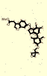 COC(=O)CC1COc2cc(O[C@@H]3CCc4c(-c5c(C)cc(OCC6(C)COC6)cc5C)cc(F)c(F)c43)ccc21